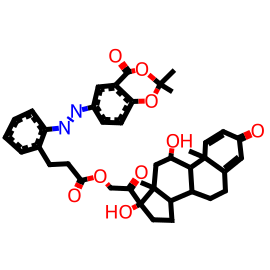 CC1(C)OC(=O)c2cc(/N=N/c3ccccc3CCC(=O)OCC(=O)C3(O)CCC4C5CCC6=CC(=O)C=CC6(C)C5C(O)CC43C)ccc2O1